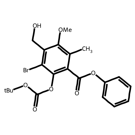 COc1c(C)c(C(=O)Oc2ccccc2)c(OC(=O)OC(C)(C)C)c(Br)c1CO